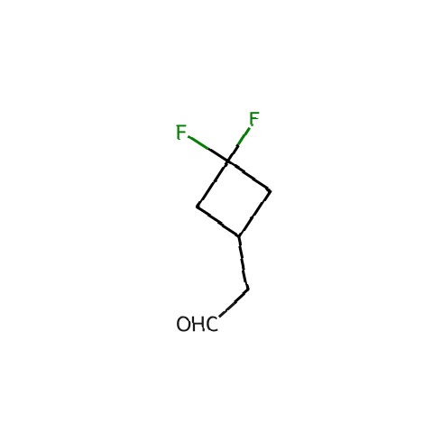 O=CCC1CC(F)(F)C1